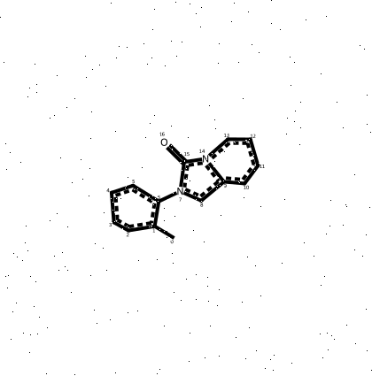 Cc1ccccc1-n1cc2ccccn2c1=O